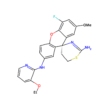 CCOc1cccnc1Nc1ccc2c(c1)[C@@]1(CCSC(N)=N1)c1cc(OC)cc(F)c1O2